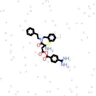 N=C(N)c1ccc(C(=O)OC(=O)CC2(N)Sc3ccccc3CN(CCc3ccccc3)C2=O)cc1